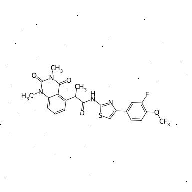 CC(C(=O)Nc1nc(-c2ccc(OC(F)(F)F)c(F)c2)cs1)c1cccc2c1c(=O)n(C)c(=O)n2C